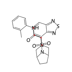 Cc1ccccc1NC(=O)CN1CC2CCC(C1)N2S(=O)(=O)c1cccc2nsnc12